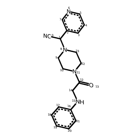 N#CC(c1cccnc1)N1CCN(C(=O)CNc2ccccc2)CC1